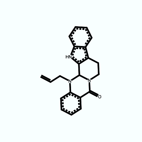 C=CCN1c2ccccc2C(=O)N2CCc3c([nH]c4ccccc34)C21